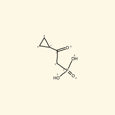 O=C(CP(=O)(O)O)C1CC1